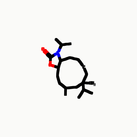 BC1(C(C)C)CCCCC2C(CCC(C)C1)OC(=O)N2C(C)C